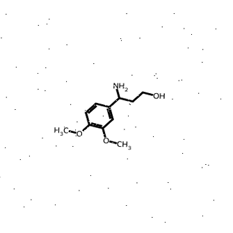 COc1ccc(C(N)CCO)cc1OC